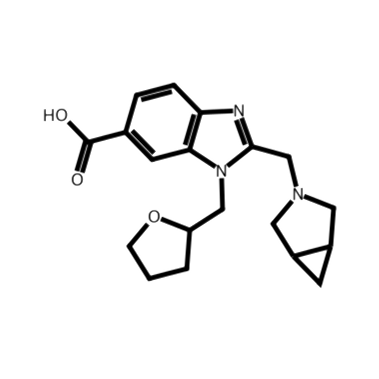 O=C(O)c1ccc2nc(CN3CC4CC4C3)n(CC3CCCO3)c2c1